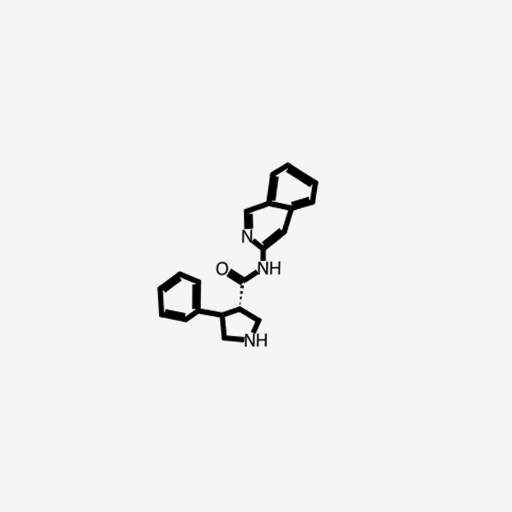 O=C(Nc1cc2ccccc2cn1)[C@@H]1CNCC1c1ccccc1